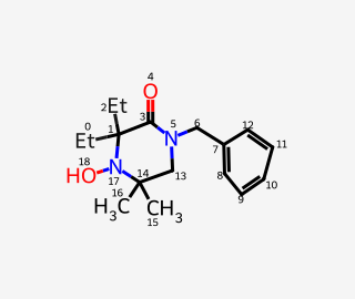 CCC1(CC)C(=O)N(Cc2ccccc2)CC(C)(C)N1O